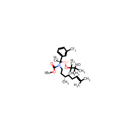 CC(C)=CCC[C@H](C)CCN(C(=O)OC(C)(C)C)[C@@](C)(BOC(C)(C)C(C)(C)N=O)c1cccc(C(F)(F)F)c1